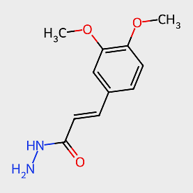 COc1ccc(C=CC(=O)NN)cc1OC